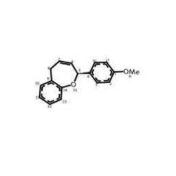 COc1ccc([C@@H]2C=CCc3ccccc3O2)cc1